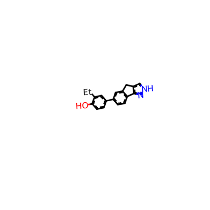 CCc1cc(-c2ccc3c(c2)Cc2c[nH]nc2-3)ccc1O